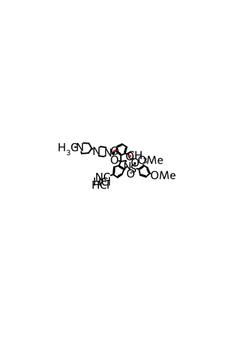 COc1ccc(S(=O)(=O)N2C(=O)C(OC(=O)N3CCN(C4CCN(C)CC4)CC3)(c3ccccc3C)c3cc(C#N)ccc32)c(OC)c1.Cl.Cl